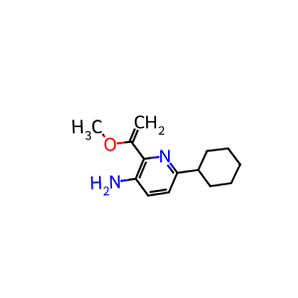 C=C(OC)c1nc(C2CCCCC2)ccc1N